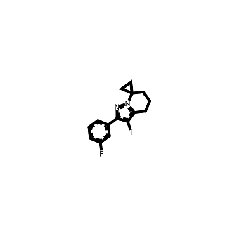 Fc1cccc(-c2nn3c(c2I)CCCC32CC2)c1